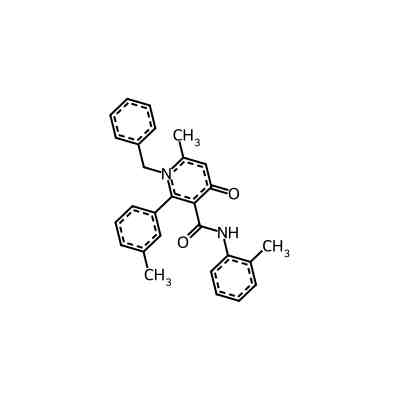 Cc1cccc(-c2c(C(=O)Nc3ccccc3C)c(=O)cc(C)n2Cc2ccccc2)c1